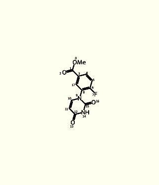 COC(=O)c1ccc(F)c(-n2ccc(=O)[nH]c2=O)c1